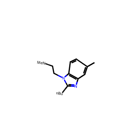 CCCCc1nc2cc(C)ccc2n1CCNC